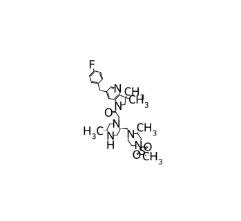 C[C@@H]1CN(CC(=O)N2CC(C)(C)c3ncc(Cc4ccc(F)cc4)cc32)[C@@H](CN2CCN(S(C)(=O)=O)C[C@H]2C)CN1